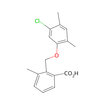 Cc1cc(C)c(OCc2c(C)cccc2C(=O)O)cc1Cl